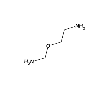 NCCOCN